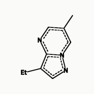 CCc1cnn2cc(C)cnc12